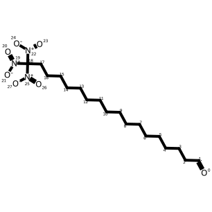 O=[C]CCCCCCCCCCCCCCCCC([N+](=O)[O-])([N+](=O)[O-])[N+](=O)[O-]